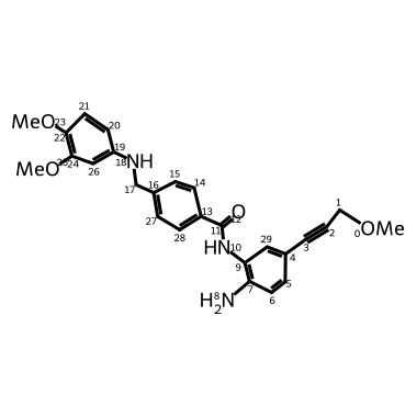 COCC#Cc1ccc(N)c(NC(=O)c2ccc(CNc3ccc(OC)c(OC)c3)cc2)c1